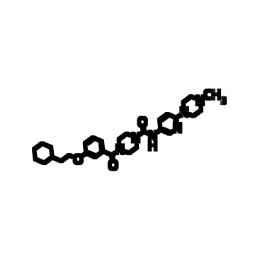 CN1CCN(c2ccc(NC(=O)N3CCN(C(=O)c4cccc(OCCC5CCCCC5)c4)CC3)cn2)CC1